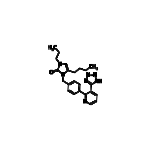 CCCCc1cn(CCC)c(=O)n1Cc1ccc(-c2ncccc2-c2nnn[nH]2)cc1